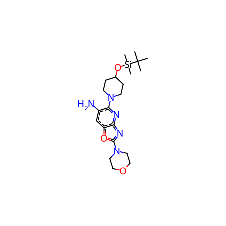 CC(C)(C)[Si](C)(C)OC1CCN(c2nc3nc(N4CCOCC4)oc3cc2N)CC1